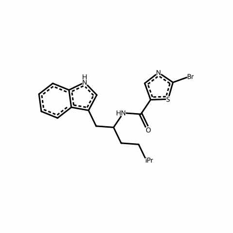 CC(C)CCC(Cc1c[nH]c2ccccc12)NC(=O)c1cnc(Br)s1